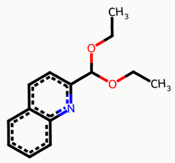 CCOC(OCC)c1ccc2ccccc2n1